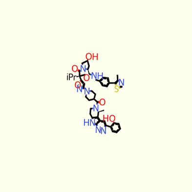 Cc1ncsc1-c1ccc(CNC(=O)[C@@H]2C[C@@H](O)CN2C(=O)[C@](C)(c2cc(N3CCC(C(=O)N4CCc5[nH]c6nnc(-c7ccccc7O)cc6c5[C@@H]4C)CC3)no2)C(C)C)cc1